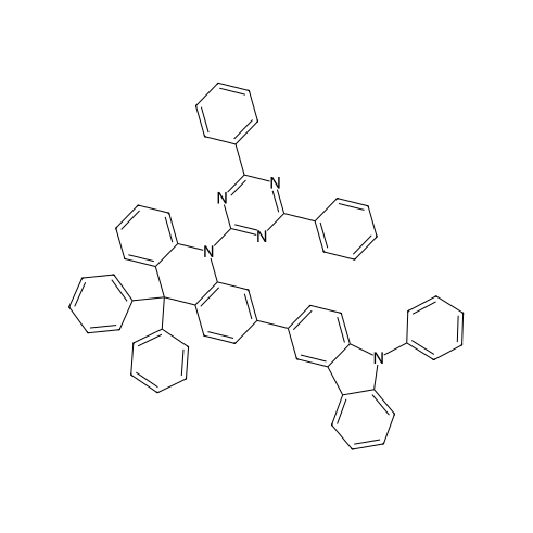 c1ccc(-c2nc(-c3ccccc3)nc(N3c4ccccc4C(c4ccccc4)(c4ccccc4)c4ccc(-c5ccc6c(c5)c5ccccc5n6-c5ccccc5)cc43)n2)cc1